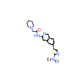 CCN(CC)c1ncc(-c2ccc3cnc(NC(=O)CN4CCCCC4)cc3c2)s1